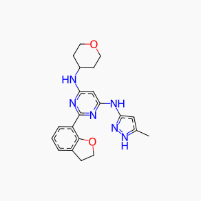 Cc1cc(Nc2cc(NC3CCOCC3)nc(-c3cccc4c3OCC4)n2)n[nH]1